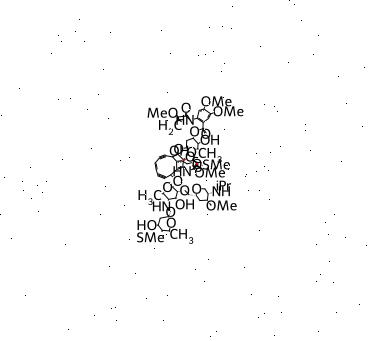 C=C(OC)C(=O)Nc1cc(OC)c(OC)cc1C(=O)O[C@H]1CC(O[C@@H]2C(=O)C(NC(=O)OC)=C3/C(=C\CSSSC)[C@]2(O)C#C/C=C\C#C[C@@H]3O[C@@H]2O[C@H](C)[C@@H](NO[C@H]3C[C@H](O)[C@H](SC)[C@@H](C)O3)[C@H](O)[C@H]2OC[C@H]2C[C@H](OC)[C@@H](NC(C)C)CO2)O[C@@H](C)[C@@H]1O